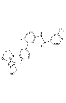 Cc1ccc(NC(=O)c2ccnc(C(F)(F)F)c2)cc1-c1ccc2c(c1)N1CCOC[C@H]1[C@@](F)(CO)C2